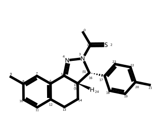 CC(=S)N1N=C2c3cc(C)ccc3CC[C@H]2[C@H]1c1ccc(C)cc1